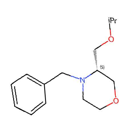 CC(C)OC[C@@H]1COCCN1Cc1ccccc1